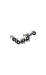 CCN1CCN(Cc2ccc(NC(=O)CC(=O)Nc3ccc4c(/C=C/c5ccccn5)n[nH]c4c3)cc2C(F)(F)F)CC1